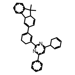 CC1(C)c2ccccc2C2C=C(C3=CCCC(c4nc(-c5ccccc5)cc(C5C=CC=CC5)n4)=C3)C=CC21